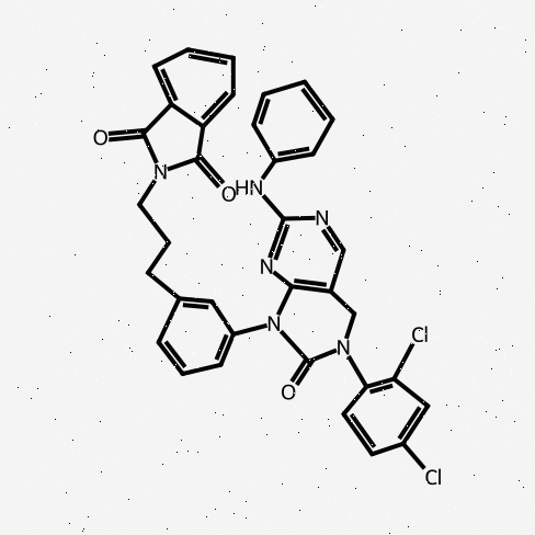 O=C1c2ccccc2C(=O)N1CCCc1cccc(N2C(=O)N(c3ccc(Cl)cc3Cl)Cc3cnc(Nc4ccccc4)nc32)c1